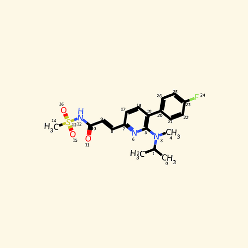 CC(C)N(C)c1nc(/C=C/C(=O)NS(C)(=O)=O)ccc1-c1ccc(F)cc1